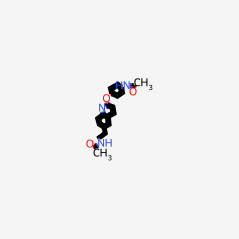 CC(=O)NCCc1ccc2nc(Oc3ccc(NC(C)=O)cc3)ccc2c1